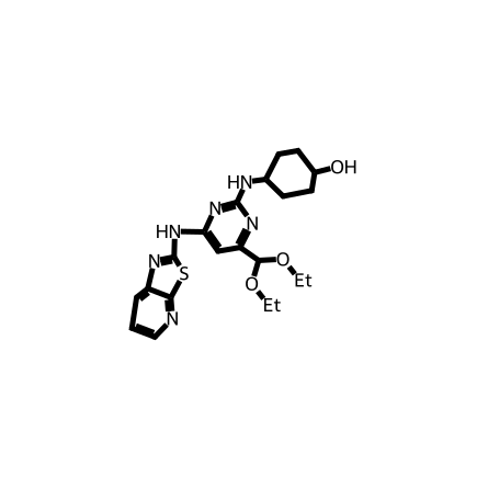 CCOC(OCC)c1cc(Nc2nc3cccnc3s2)nc(NC2CCC(O)CC2)n1